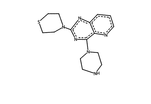 c1cnc2c(N3CCNCC3)nc(N3CCSCC3)nc2c1